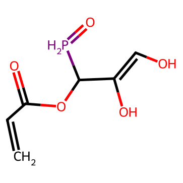 C=CC(=O)OC([PH2]=O)C(O)=CO